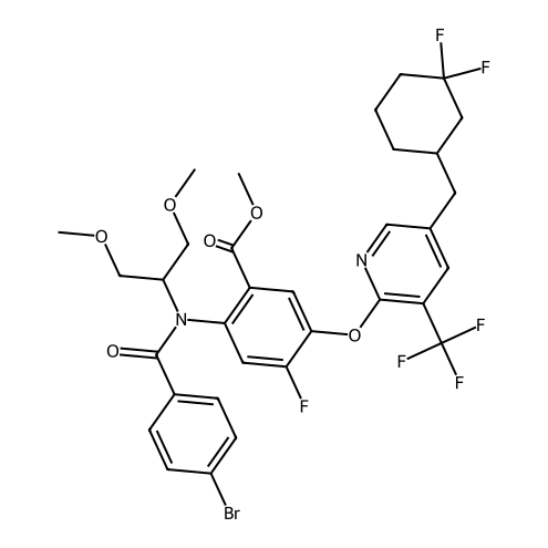 COCC(COC)N(C(=O)c1ccc(Br)cc1)c1cc(F)c(Oc2ncc(CC3CCCC(F)(F)C3)cc2C(F)(F)F)cc1C(=O)OC